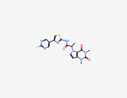 CC(C(=O)Nc1nc(-c2cnc(F)nc2)cs1)n1ccc2c1c(=O)n(C)c(=O)n2C